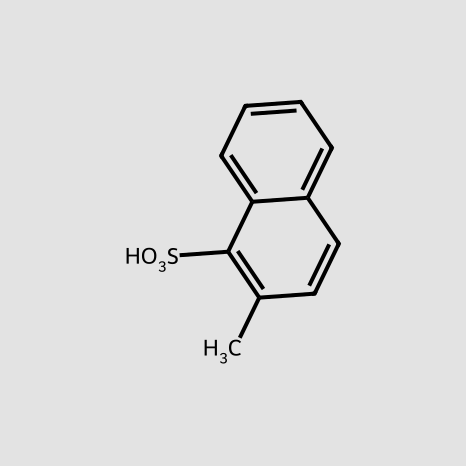 Cc1ccc2ccccc2c1S(=O)(=O)O